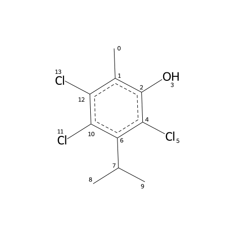 Cc1c(O)c(Cl)c(C(C)C)c(Cl)c1Cl